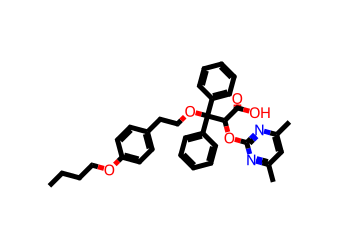 CCCCOc1ccc(CCOC(c2ccccc2)(c2ccccc2)C(Oc2nc(C)cc(C)n2)C(=O)O)cc1